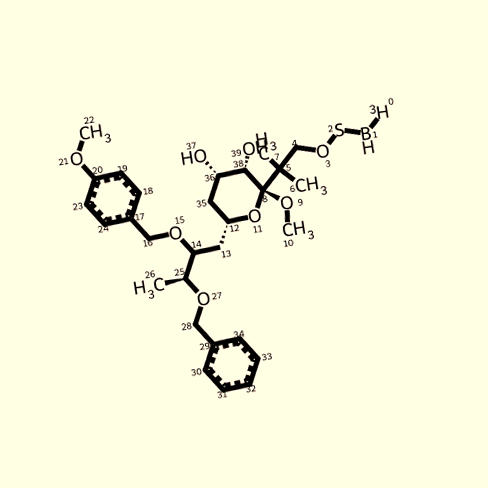 [3H]BSOCC(C)(C)[C@]1(OC)O[C@H](CC(OCc2ccc(OC)cc2)[C@H](C)OCc2ccccc2)C[C@H](O)[C@@H]1O